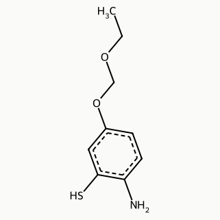 CCOCOc1ccc(N)c(S)c1